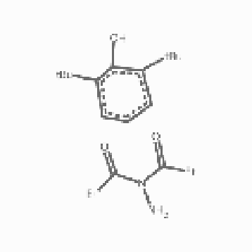 CC(C)(C)c1cccc(C(C)(C)C)c1O.CCC(=O)N(N)C(=O)CC